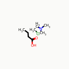 CCCC(=O)O.CCl.CN(C)C